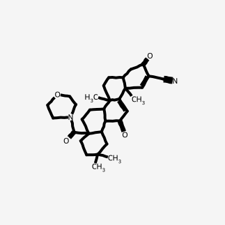 CC1(C)CCC2(C(=O)N3CCOCC3)CCC3C(C(=O)C=C4C5(C)C=C(C#N)C(=O)CC5CCC43C)C2C1